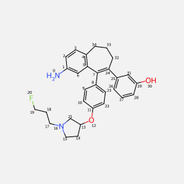 Nc1ccc2c(c1)C(c1ccc(OC3CCN(CCCF)C3)cc1)=C(c1cccc(O)c1)CCC2